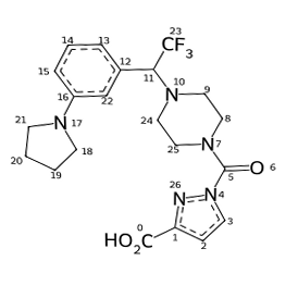 O=C(O)c1ccn(C(=O)N2CCN(C(c3cccc(N4CCCC4)c3)C(F)(F)F)CC2)n1